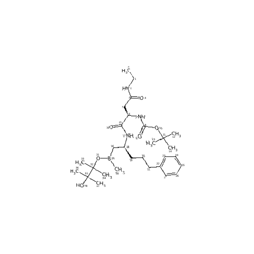 CCNC(=O)C[C@@H](NC(=O)OC(C)(C)C)C(=O)N[C@@H](CCCc1ccccc1)CB(C)OC(C)(C)C(C)(C)O